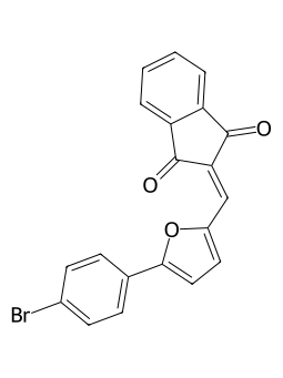 O=C1C(=Cc2ccc(-c3ccc(Br)cc3)o2)C(=O)c2ccccc21